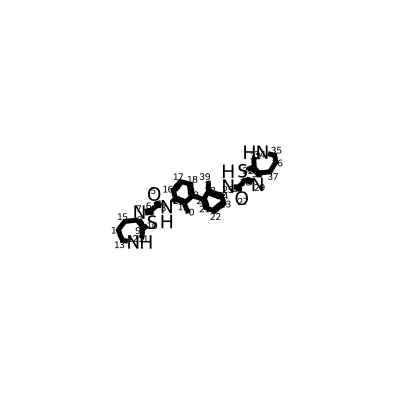 Cc1c(NC(=O)c2nc3c(s2)CNCCC3)cccc1-c1cccc(NC(=O)c2nc3c(s2)CNCCC3)c1C